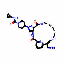 N=C/C1=C\NCCCCCCNC(=O)c2nn(C3CCN(C(=O)NC4CC4)CC3)cc2NC(=O)c2cccc1n2